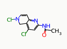 CC(=O)Nc1cc(Cl)c2c(n1)C=CN(Cl)C2